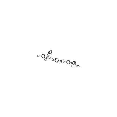 CC[C@@H](C)n1ncn(-c2ccc(N3CCN(c4ccc(OC[C@@H]5CO[C@](Cn6cncn6)(c6ccc(Cl)cc6Cl)O5)cc4)CC3)cc2)c1=O